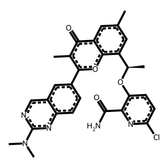 Cc1cc([C@@H](C)Oc2ccc(Cl)nc2C(N)=O)c2oc(-c3ccc4nc(N(C)C)ncc4c3)c(C)c(=O)c2c1